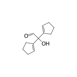 O=CC(O)(C1=CCCC1)C1=CCCC1